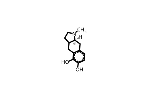 CN1CCC2Cc3c(ccc(O)c3O)C[C@@H]21